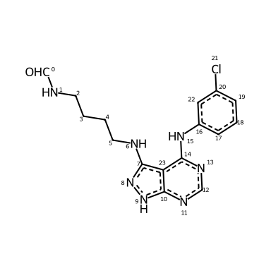 O=CNCCCCNc1n[nH]c2ncnc(Nc3cccc(Cl)c3)c12